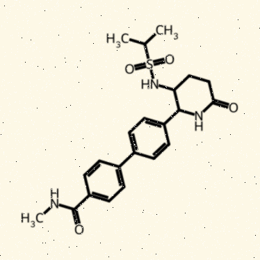 CNC(=O)c1ccc(-c2ccc(C3NC(=O)CCC3NS(=O)(=O)C(C)C)cc2)cc1